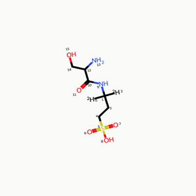 [2H]C([2H])(CCS(=O)(=O)O)NC(=O)C(N)CO